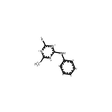 Cc1nc(F)nc(Nc2ccccc2)n1